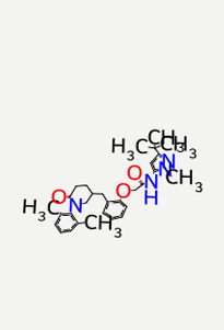 Cc1cccc(C)c1N1CC(Cc2ccccc2OCC(=O)Nc2cc(C(C)(C)C)nn2C)CCC1=O